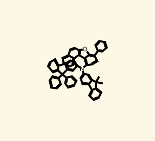 CC1(C)c2ccccc2-c2ccc(N(c3ccc4c(c3)C(c3ccccc3)(c3ccccc3)c3ccccc3-4)c3ccc(-c4ccccc4)c4oc5ccc6ccccc6c5c34)cc21